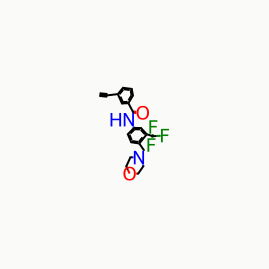 C#Cc1cccc(C(=O)Nc2ccc(CN3CCOCC3)c(C(F)(F)F)c2)c1